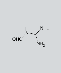 NC(N)NC=O